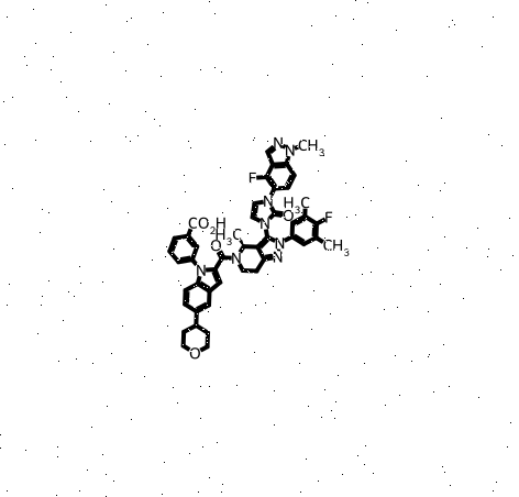 Cc1cc(-n2nc3c(c2-n2ccn(-c4ccc5c(cnn5C)c4F)c2=O)[C@H](C)N(C(=O)c2cc4cc(C5CCOCC5)ccc4n2-c2cccc(C(=O)O)c2)CC3)cc(C)c1F